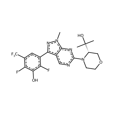 Cn1nc(-c2cc(C(F)(F)F)c(F)c(O)c2F)c2cnc(N3CCOC[C@H]3C(C)(C)O)nc21